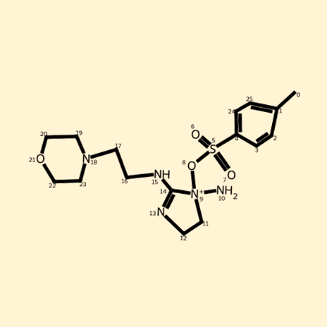 Cc1ccc(S(=O)(=O)O[N+]2(N)CCN=C2NCCN2CCOCC2)cc1